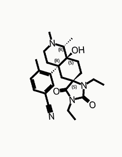 CCN1C(=O)N(CC)[C@]2(CC[C@@]3(O)[C@@H](C)N(C)CC[C@]3(c3cc(C#N)ccc3C)C2)C1=O